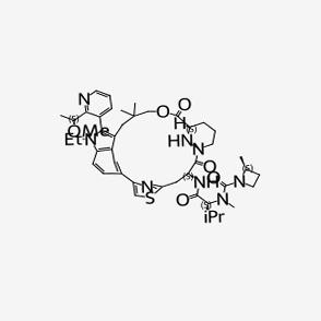 CCn1c(-c2cccnc2[C@H](C)OC)c2c3cc(ccc31)-c1csc(n1)C[C@H](NC(=O)[C@H](C(C)C)N(C)C(=O)N1CC[C@@H]1C)C(=O)N1CCC[C@H](N1)C(=O)OCC(C)(C)C2